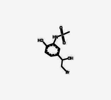 CS(=O)(=O)Nc1cc(C(O)CBr)ccc1O